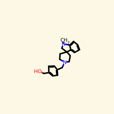 CN1CC2(CCN(Cc3ccc(CO)cc3)CC2)c2ccccc21